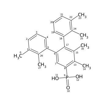 Cc1cccc(-c2cc(P(=O)(O)O)c(C)c(C)c2-c2cccc(C)c2C)c1C